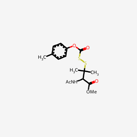 COC(=O)C(NC(C)=O)C(C)(C)SSC(=O)Oc1ccc(C)cc1